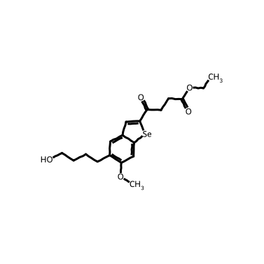 CCOC(=O)CCC(=O)c1cc2cc(CCCCO)c(OC)cc2[se]1